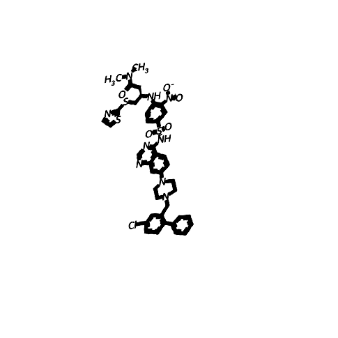 CN(C)C(=O)C[C@H](CSc1nccs1)Nc1ccc(S(=O)(=O)Nc2ncnc3cc(N4CCN(Cc5cc(Cl)ccc5-c5ccccc5)CC4)ccc23)cc1[N+](=O)[O-]